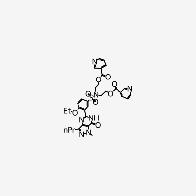 CCCc1nn(C)c2c(=O)[nH]c(-c3cc(S(=O)(=O)N(CCOC(=O)c4cccnc4)CCOC(=O)c4cccnc4)ccc3OCC)nc12